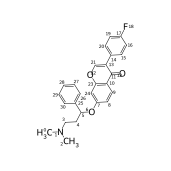 CN(C)CCC(Oc1ccc2c(=O)c(-c3ccc(F)cc3)coc2c1)c1ccccc1